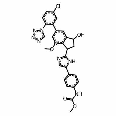 COC(=O)Nc1ccc(-c2cnc(C3CC(O)c4cc(-c5cc(Cl)ccc5-n5cnnn5)c[n+](OC)c43)[nH]2)cc1